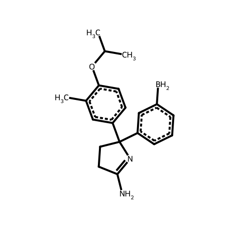 Bc1cccc(C2(c3ccc(OC(C)C)c(C)c3)CCC(N)=N2)c1